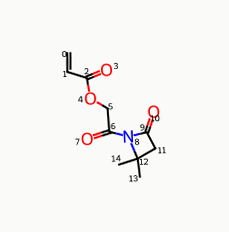 C=CC(=O)OCC(=O)N1C(=O)CC1(C)C